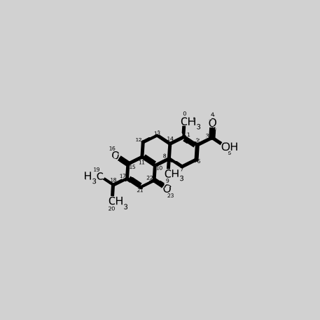 CC1=C(C(=O)O)CCC2(C)C3=C(CCC12)C(=O)C(C(C)C)=CC3=O